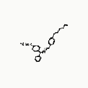 C=CCCCCc1ccc(C=NN=C(c2ccccc2)C2CCC(CCCCCC)CC2)cc1